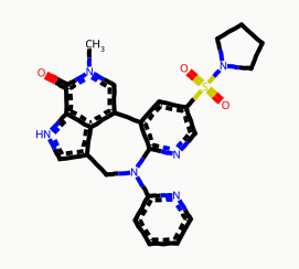 Cn1cc2c3c(c[nH]c3c1=O)CN(c1ccccn1)c1ncc(S(=O)(=O)N3CCCC3)cc1-2